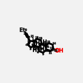 CCC#CC1=CC[C@H]2[C@@H]3CCC4=C[C@@H](O)CC[C@@H]4[C@H]3CC[C@]12C